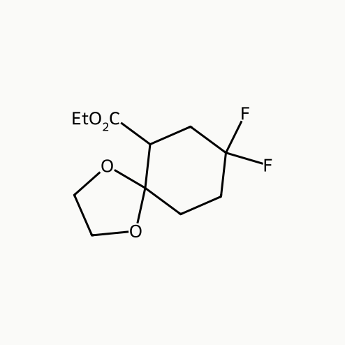 CCOC(=O)C1CC(F)(F)CCC12OCCO2